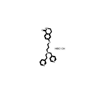 Cl.Cl.Cl.O=C1NCCc2cc(OCCCN(CCc3cccnc3)Cc3ccncc3)ccc21